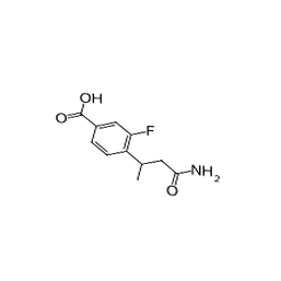 CC(CC(N)=O)c1ccc(C(=O)O)cc1F